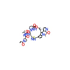 C=CC(=O)N1CC[C@H](C(=O)N(C)[C@H](C(=O)N[C@H]2Cc3nnc(s3)-c3ccc4c(c3)c(c(-c3cccnc3[C@H](C)OC)n4CC)CC(C)(C)COC(=O)[C@@H]3CCCN(N3)C2=O)C(C)C)C1